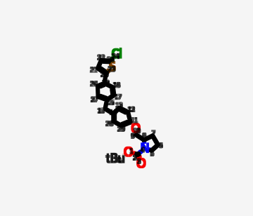 CC(C)(C)OC(=O)N1CCCC1COc1ccc(Cc2ccc(-c3ccc(Cl)s3)cc2)cc1